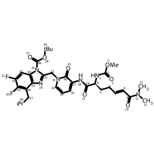 COC(=O)N[C@@H](CC/C=C/C(=O)N(C)C)C(=O)Nc1cccn(Cc2nc3c(CC(C)C)c(F)c(F)cc3n2C(=O)OC(C)(C)C)c1=O